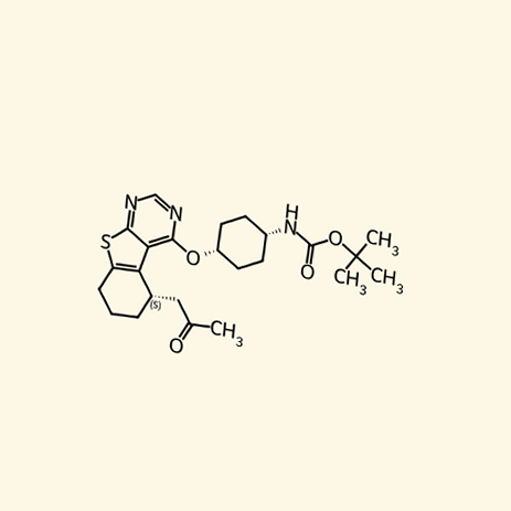 CC(=O)C[C@@H]1CCCc2sc3ncnc(O[C@H]4CC[C@@H](NC(=O)OC(C)(C)C)CC4)c3c21